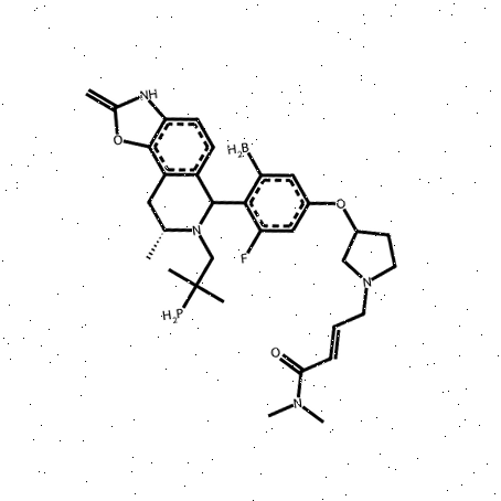 Bc1cc(OC2CCN(C/C=C/C(=O)N(C)C)C2)cc(F)c1C1c2ccc3c(c2C[C@@H](C)N1CC(C)(C)P)OC(=C)N3